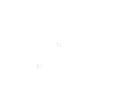 CC1Cc2[nH]c(C(=O)O)c(F)c2C1